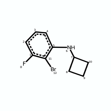 Fc1cccc(NC2CCC2)c1Br